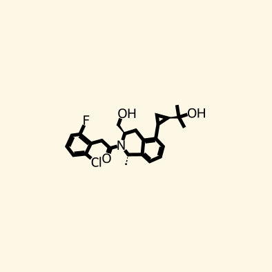 C[C@H]1c2cccc(C3C[C@H]3C(C)(C)O)c2C[C@H](CO)N1C(=O)Cc1c(F)cccc1Cl